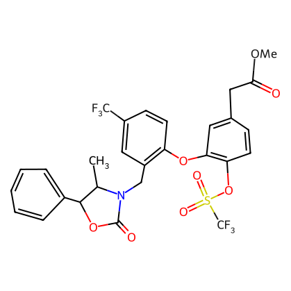 COC(=O)Cc1ccc(OS(=O)(=O)C(F)(F)F)c(Oc2ccc(C(F)(F)F)cc2CN2C(=O)OC(c3ccccc3)C2C)c1